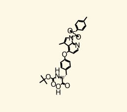 Cc1ccc(S(=O)(=O)n2cc(C)c3c(Oc4ccc(C[C@@H](NC(=O)OC(C)(C)C)C(=O)O)cc4)ccnc32)cc1